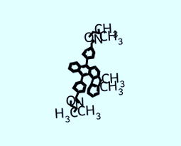 CC1(C)COC(c2ccc(-c3c4ccccc4c(-c4ccc(C5=NC(C)(C)CO5)cc4)c4c5c(ccc34)C(C)(C)c3ccccc3-5)cc2)=N1